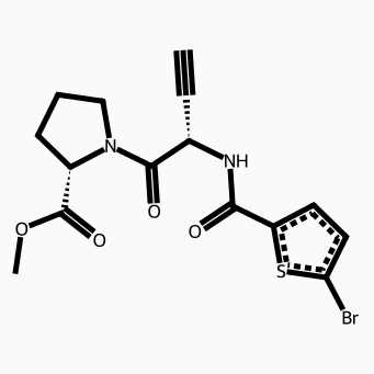 C#C[C@H](NC(=O)c1ccc(Br)s1)C(=O)N1CCC[C@H]1C(=O)OC